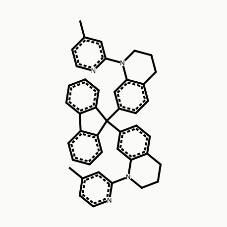 Cc1ccnc(N2CCCc3ccc(C4(c5ccc6c(c5)N(c5cc(C)ccn5)CCC6)c5ccccc5-c5ccccc54)cc32)c1